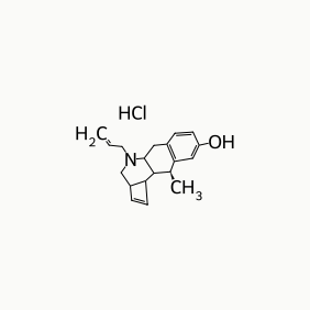 C=CCN1CC2C=CC2C2C1Cc1ccc(O)cc1[C@H]2C.Cl